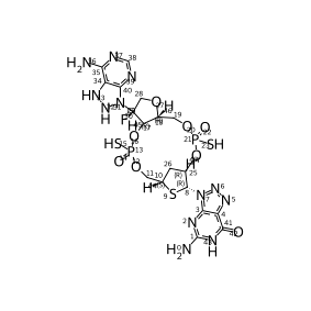 Nc1nc2c(nnn2[C@@H]2S[C@@H]3COP(=O)(S)O[C@@H]4[C@@H](COP(=O)(S)O[C@@H]2C3)OC[C@@]4(F)N2NNc3c(N)ncnc32)c(=O)[nH]1